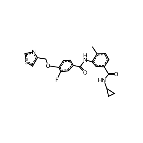 Cc1ccc(C(=O)NC2CC2)cc1NC(=O)c1ccc(OCc2cscn2)c(F)c1